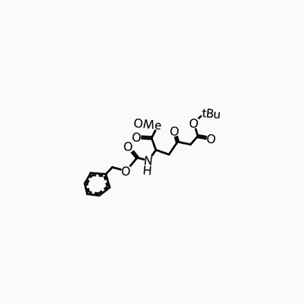 COC(=O)C(CC(=O)CC(=O)OC(C)(C)C)NC(=O)OCc1ccccc1